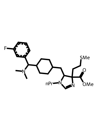 CCCN1C=NC(CCSC)(C(=O)OC)C1CC1CCC(C(c2cccc(F)c2)N(C)C)CC1